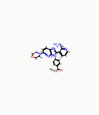 COC(=O)c1ccc(-n2c(-c3cccnc3N)nc3ccc(N4CCOCC4)nc32)cc1